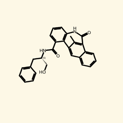 Cc1c2cc3ccccc3c1C(=O)Nc1cccc(C(=O)N[C@H](CO)Cc3ccccc3)c1-2